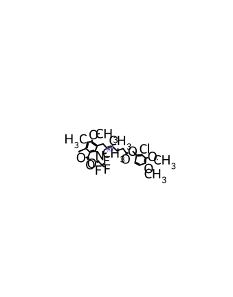 COc1ccc(OC(=O)CC/C(C)=C/Cc2c(OC)c(C)c3c(c2N(C)C(=O)C(F)(F)F)C(=O)OC3)c(Cl)c1OC